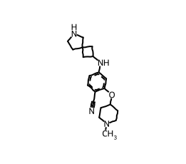 CN1CCC(Oc2cc(NC3CC4(CCNC4)C3)ccc2C#N)CC1